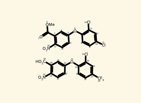 COC(=O)c1cc(Oc2ccc(Cl)cc2Cl)ccc1[N+](=O)[O-].O=C(O)c1cc(Oc2ccc(C(F)(F)F)cc2Cl)ccc1[N+](=O)[O-]